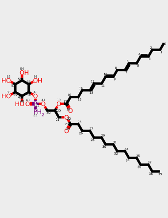 CCC/C=C/C/C=C/C/C=C/C/C=C/CCCC(=O)OC(COC(=O)CCCCCCCCCCCCCCC)COP(=O)(P)OC1C(O)C(O)C(O)C(O)C1O